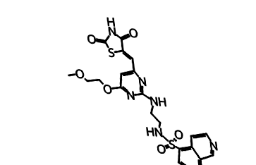 COCCOc1cc(/C=C2\SC(=O)NC2=O)nc(NCCNS(=O)(=O)c2cccc3cnccc23)n1